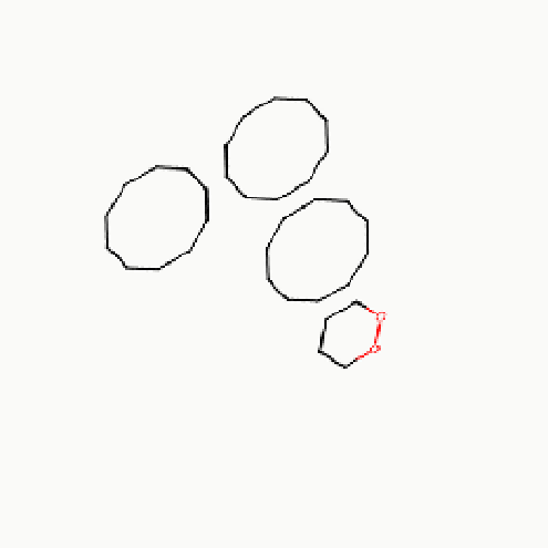 C1CCCCCCCCC1.C1CCCCCCCCC1.C1CCCCCCCCC1.C1CCOOC1